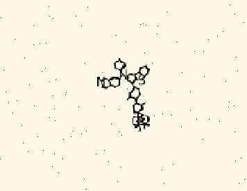 Cc1cc(B2OC(C)(C)C(C)(C)O2)ccc1-c1ccc(-c2cc(N(c3ccccc3)c3ccc4ccncc4c3)cc3c2sc2ccccc23)cc1C